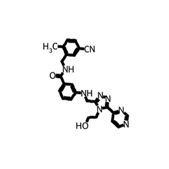 Cc1ccc(C#N)cc1CNC(=O)c1cccc(NCc2nnc(-c3ccncn3)n2CCO)c1